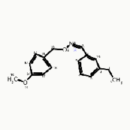 CCc1cccc(/[C]=N\OCc2ccc(OC)cc2)c1